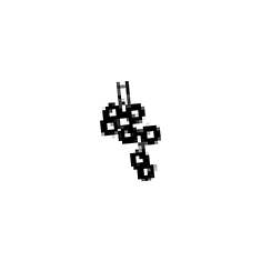 c1ccc2cc(-n3c4ccccc4c4c(-c5cccc6[nH]c7ccc8ccccc8c7c56)cccc43)ccc2c1